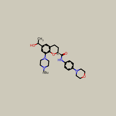 CCCCN1CCN(c2cc(C(C)O)cc3c2O[C@H](C(=O)Nc2ccc(N4CCOCC4)cc2)CC3)CC1